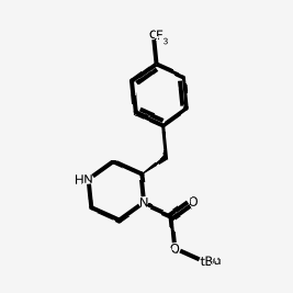 CC(C)(C)OC(=O)N1CCNC[C@H]1Cc1ccc(C(F)(F)F)cc1